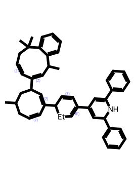 CC/C=C(\C=C/C(C)C1=C/C(C2=C/C(C)c3ccccc3C(C)(C)C/C=C\2)CC(C)C/C=C\1)C1=CC(c2ccccc2)NC(c2ccccc2)=C1